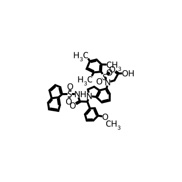 COc1cccc(C(C(=O)NS(=O)(=O)c2cccc3ccccc23)N2CCc3c2cccc3N(CC(=O)O)S(=O)(=O)c2c(C)cc(C)cc2C)c1